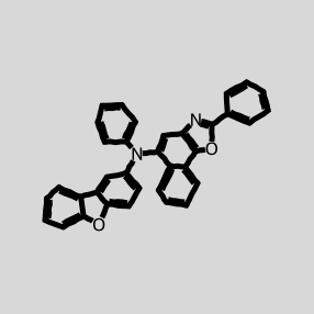 c1ccc(-c2nc3cc(N(c4ccccc4)c4ccc5oc6ccccc6c5c4)c4ccccc4c3o2)cc1